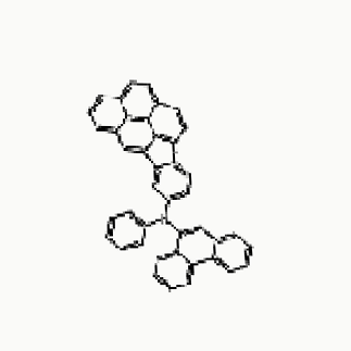 c1ccc(N(c2ccc3c(c2)-c2cc4cccc5ccc6ccc-3c2c6c54)c2cc3ccccc3c3ccccc23)cc1